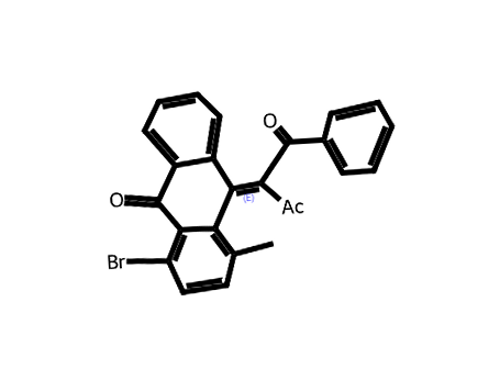 CC(=O)/C(C(=O)c1ccccc1)=C1/c2ccccc2C(=O)c2c(Br)ccc(C)c21